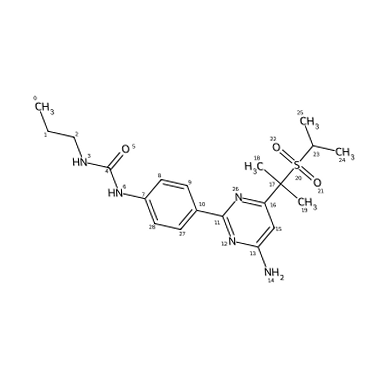 CCCNC(=O)Nc1ccc(-c2nc(N)cc(C(C)(C)S(=O)(=O)C(C)C)n2)cc1